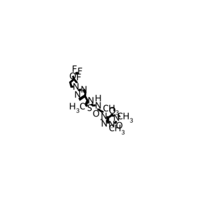 Cc1sc(NC(=O)C(C)n2cnc3c2c(=O)n(C)c(=O)n3C)nc1-c1cnc(N2CCC(OC(F)(F)F)C2)nc1